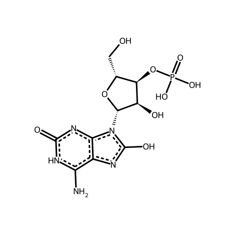 Nc1[nH]c(=O)nc2c1nc(O)n2[C@@H]1O[C@H](CO)[C@@H](OP(=O)(O)O)[C@H]1O